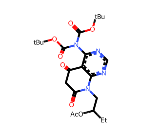 CCC(CN1C(=O)CC(=O)c2c1ncnc2N(C(=O)OC(C)(C)C)C(=O)OC(C)(C)C)OC(C)=O